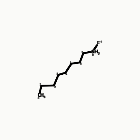 CCCCCCCC[SiH2]F